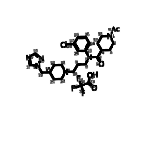 CC(=O)N1CCC(C(=O)N(CCCN2CCC(Cn3cncn3)CC2)c2cccc(Cl)c2)CC1.O=C(O)C(F)(F)F